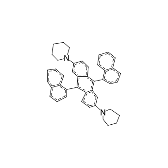 c1ccc2c(-c3c4ccc(N5CCCCC5)cc4c(-c4cccc5ccccc45)c4ccc(N5CCCCC5)cc34)cccc2c1